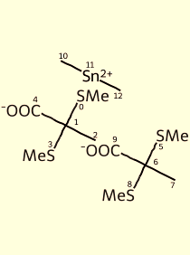 CSC(C)(SC)C(=O)[O-].CSC(C)(SC)C(=O)[O-].[CH3][Sn+2][CH3]